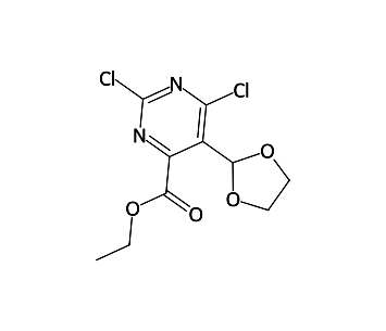 CCOC(=O)c1nc(Cl)nc(Cl)c1C1OCCO1